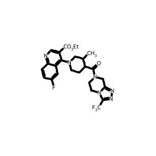 CCOC(=O)c1cnc2ccc(F)cc2c1N1CCC(C(=O)N2CCn3c(nnc3C(F)(F)F)C2)C(C)C1